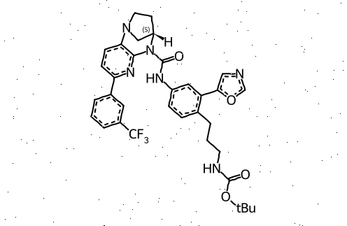 CC(C)(C)OC(=O)NCCCc1ccc(NC(=O)N2c3nc(-c4cccc(C(F)(F)F)c4)ccc3N3CC[C@H]2C3)cc1-c1cnco1